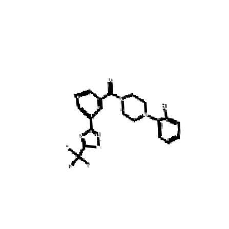 O=C(c1cccc(-c2noc(C(F)(F)F)n2)c1)N1CCN(c2ccccc2Cl)CC1